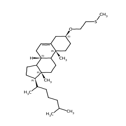 CSCCO[C@H]1CC[C@@]2(C)C(=CC[C@@H]3C2CC[C@@]2(C)C3CC[C@@H]2C(C)CCCC(C)C)C1